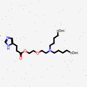 CCCCCCCCCCCCCCN(CCCCCCCCCCCCCC)CCOCCOC(=O)CCc1cnc[nH]1